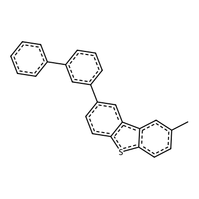 Cc1ccc2sc3ccc(-c4cccc(-c5ccccc5)c4)cc3c2c1